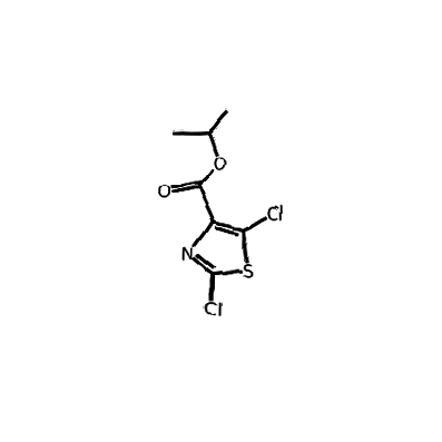 CC(C)OC(=O)c1nc(Cl)sc1Cl